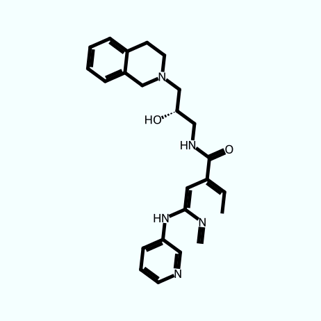 C=N/C(=C\C(=C/C)C(=O)NC[C@H](O)CN1CCc2ccccc2C1)Nc1cccnc1